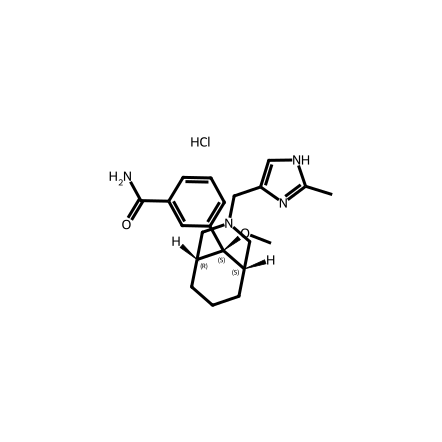 CO[C@]1(c2cccc(C(N)=O)c2)[C@@H]2CCC[C@H]1CN(Cc1c[nH]c(C)n1)C2.Cl